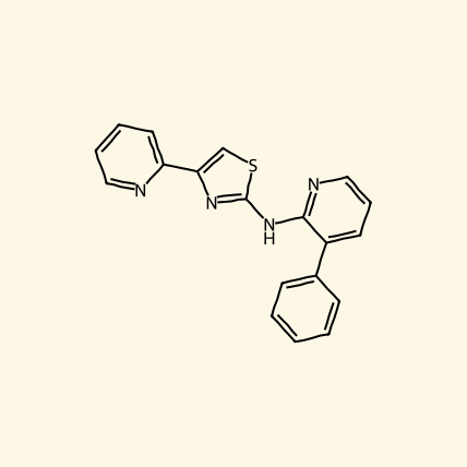 c1ccc(-c2cccnc2Nc2nc(-c3ccccn3)cs2)cc1